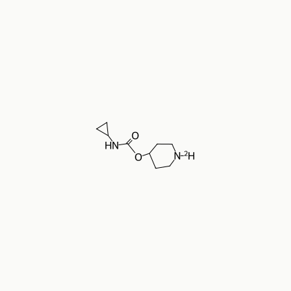 [2H]N1CCC(OC(=O)NC2CC2)CC1